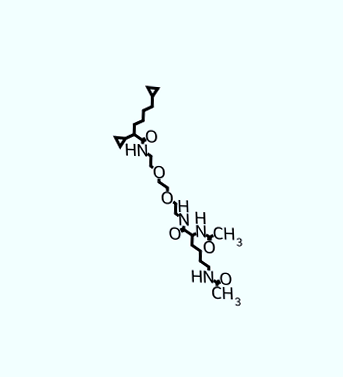 CC(=O)NCCCCC(NC(C)=O)C(=O)NCCOCCOCCNC(=O)C(CCCCC1CC1)C1CC1